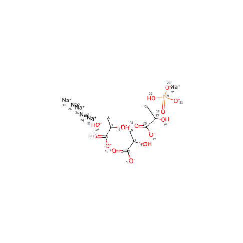 CC(O)C(=O)[O-].CC(O)C(=O)[O-].CC(O)C(=O)[O-].O=P([O-])([O-])O.[Na+].[Na+].[Na+].[Na+].[Na+].[Na+].[OH-]